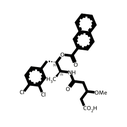 COC(CC(=O)O)CC(=O)N[C@@H](C)[C@H](Cc1ccc(Cl)c(Cl)c1)OC(=O)c1ccc2ccccc2c1